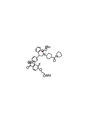 COCCOc1ccc(C(N)=O)c(-c2cc(C(CN(C(=O)OC(C)(C)C)C3CCC(C(=O)N4CCCCC4)CC3)c3ccccc3)ccc2Cl)c1F